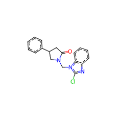 O=C1CC(c2ccccc2)CN1Cn1c(Cl)nc2ccccc21